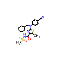 Cc1sc(N(CC2CCCCC2)c2ccc(C#N)cc2)nc1C(=O)NS(C)(=O)=O